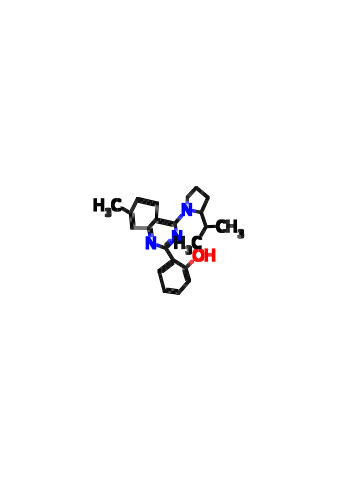 Cc1ccc2c(N3CCCC3C(C)C)nc(-c3ccccc3O)nc2c1